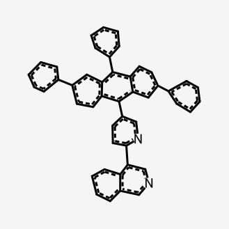 c1ccc(-c2ccc3c(-c4ccc(-c5cncc6ccccc56)nc4)c4cc(-c5ccccc5)ccc4c(-c4ccccc4)c3c2)cc1